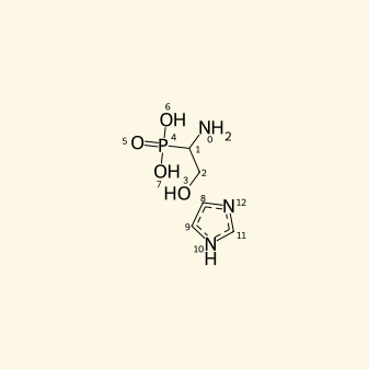 NC(CO)P(=O)(O)O.c1c[nH]cn1